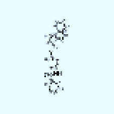 O=C(NC1CCN(CCc2c[nH]c3c2ccc2ccccc23)CC1)c1ccccc1